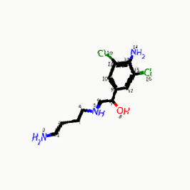 NCCCCNCC(O)c1cc(Cl)c(N)c(Cl)c1